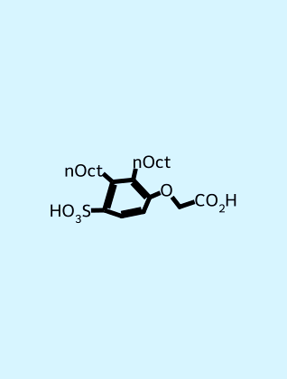 CCCCCCCCc1c(OCC(=O)O)ccc(S(=O)(=O)O)c1CCCCCCCC